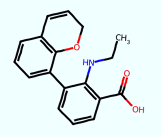 CCNc1c(C(=O)O)cccc1-c1cccc2c1OCC=C2